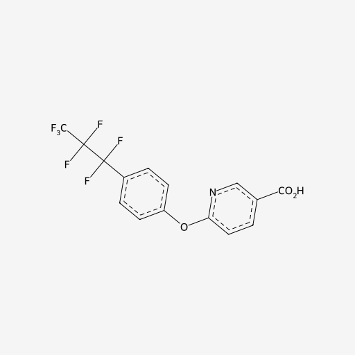 O=C(O)c1ccc(Oc2ccc(C(F)(F)C(F)(F)C(F)(F)F)cc2)nc1